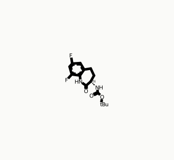 CC(C)(C)OC(=O)N[C@H]1CCc2cc(F)cc(F)c2NC1=O